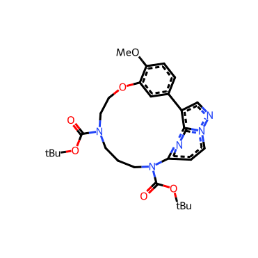 COc1ccc2cc1OCCN(C(=O)OC(C)(C)C)CCCN(C(=O)OC(C)(C)C)c1ccn3ncc-2c3n1